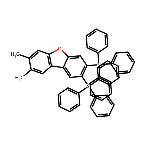 Cc1cc2oc3cc([Si](c4ccccc4)(c4ccccc4)c4ccccc4)c([Si](c4ccccc4)(c4ccccc4)c4ccccc4)cc3c2cc1C